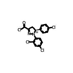 O=C(Cl)C1=NN(c2ccc(Cl)cc2Cl)[C@H](c2ccc(Cl)cc2)C1